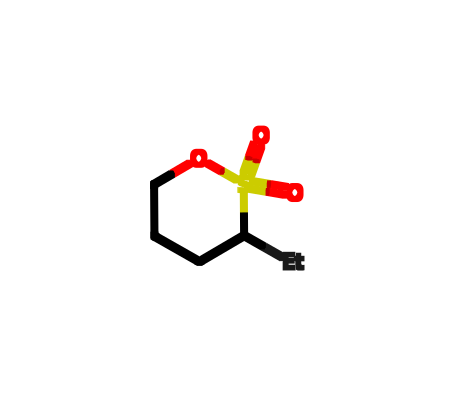 CCC1CCCOS1(=O)=O